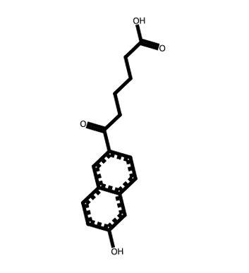 O=C(O)CCCCC(=O)c1ccc2cc(O)ccc2c1